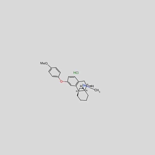 COc1ccc(Oc2ccc3c(c2)[C@@]24CCCC[C@H]2[C@@H](C3)N(C)CC4)cc1.Cl